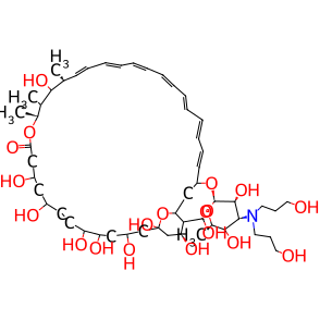 CC1C(O)[C@@H](C)/C=C/C=C/C=C/C=C/C=C/C=C/C=C/C(O[C@@H]2O[C@H](C)C(O)[C@H](N(CCCO)CCCO)[C@@H]2O)CC2OC(O)(CC(O)CC(O)C(O)CCC(O)CC(O)CC(=O)O[C@H]1C)C[C@H](O)C2C(=O)O